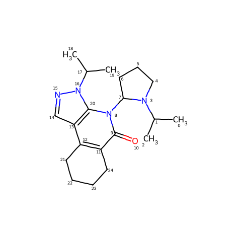 CC(C)N1CCCC1n1c(=O)c2c(c3cnn(C(C)C)c31)CCCC2